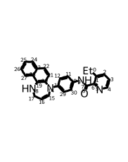 CCc1cccnc1C(=O)Nc1ccc(N2C=CCNc3c2ccc2ccccc32)cc1